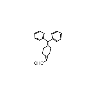 O=CCN1CCC(=C(c2ccccc2)c2ccccc2)CC1